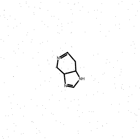 [C]1N=CCC2NC=NC12